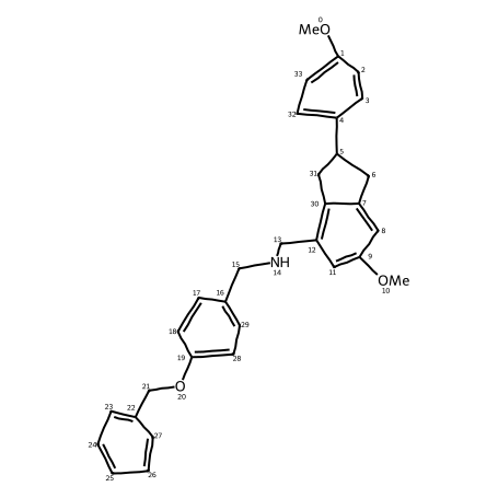 COc1ccc(C2Cc3cc(OC)cc(CNCc4ccc(OCc5ccccc5)cc4)c3C2)cc1